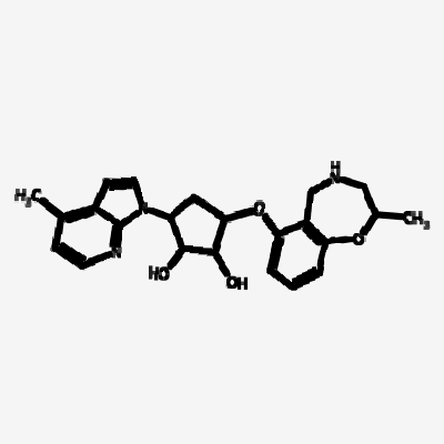 Cc1ccnc2c1ccn2C1CC(Oc2cccc3c2CNCC(C)O3)C(O)C1O